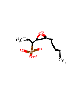 CCCC[C@@H]1O[C@@H]1C(C)S(=O)(=O)O